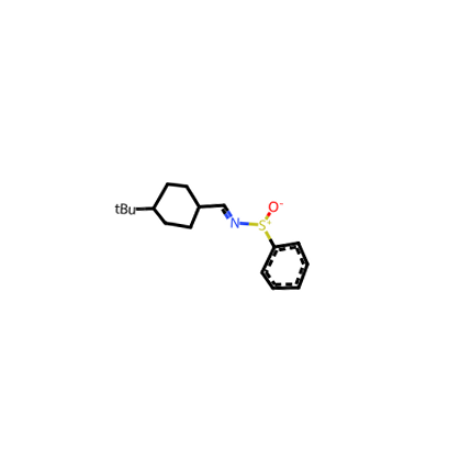 CC(C)(C)C1CCC(C=N[S+]([O-])c2ccccc2)CC1